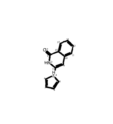 O=c1[nH]c([SH]2C=CC=C2)cc2ccccc12